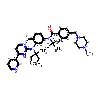 CCC(C)(CC)N(c1nccc(-c2cccnc2)n1)c1cc(N(C(=O)c2ccc(CN3CCN(C)CC3)cc2)C(C)(C)C)ccc1C